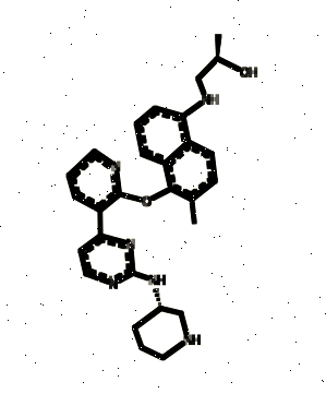 Cc1ccc2c(NC[C@@H](C)O)cccc2c1Oc1ncccc1-c1ccnc(N[C@H]2CCCNC2)n1